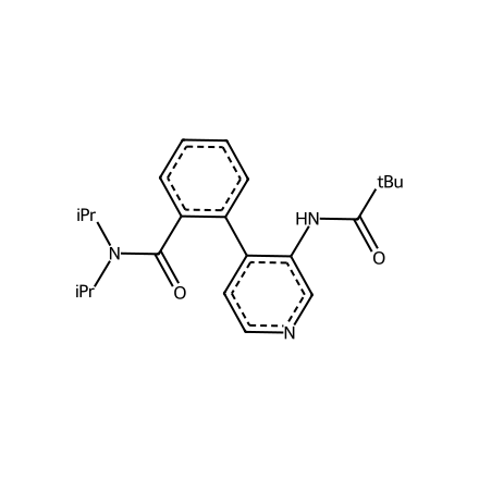 CC(C)N(C(=O)c1ccccc1-c1ccncc1NC(=O)C(C)(C)C)C(C)C